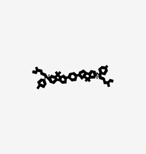 C=C/C(C)=C\C=C\N(c1ccc(C)cc1)c1ccc2c(c1)C(C)(C)c1cc(-c3ccc(-c4ccc5c(c4)C(C)(C)c4cc(N(/C=C/C=C(/C)C=C)c6ccc(C)cc6)ccc4-5)cc3)ccc1-2